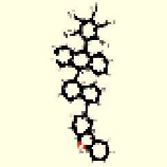 [2H]c1c([2H])c([2H])c(-c2c3ccccc3c(-c3cccc4c(-c5ccc6oc7ccccc7c6c5)cccc34)c3ccccc23)c([2H])c1[2H]